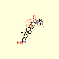 CN(C)[C@H]1C[C@@]23CC[C@]4(O2)C2CC=C(c5ccc6cc(O)ncc6c5)[C@@]2(C)CCC4(F)CC3[C@@H](O)[C@@H]1O